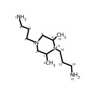 CC1CN(CCCN)CC(C)N1CCCN